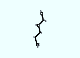 CCCCO[P]Cl